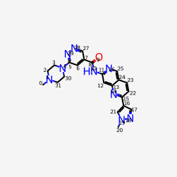 CN1CCN(c2cc(C(=O)Nc3cc4nc(-c5cnn(C)c5)ccc4cn3)cnn2)CC1